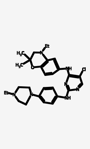 CCN1CCN(c2ccc(Nc3ncc(Cl)c(Nc4ccc5c(c4)N(CC)CC(C)(C)O5)n3)cc2)CC1